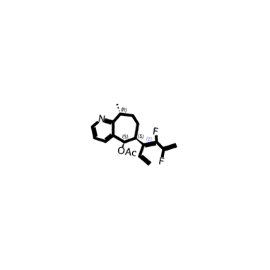 C=C/C(=C(/F)C(=C)F)[C@@H]1CC[C@@H](C)c2ncccc2[C@H]1OC(C)=O